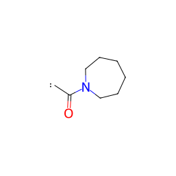 [CH]C(=O)N1CCCCCC1